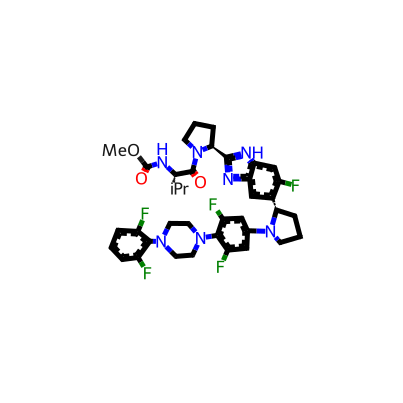 COC(=O)N[C@H](C(=O)N1CCC[C@H]1c1nc2cc([C@@H]3CCCN3c3cc(F)c(N4CCN(c5c(F)cccc5F)CC4)c(F)c3)c(F)cc2[nH]1)C(C)C